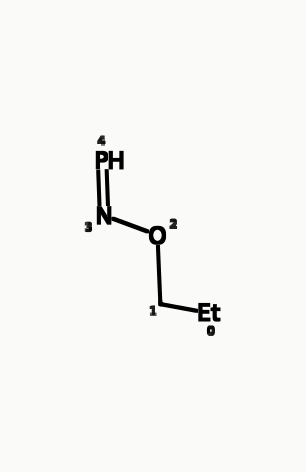 CCCON=P